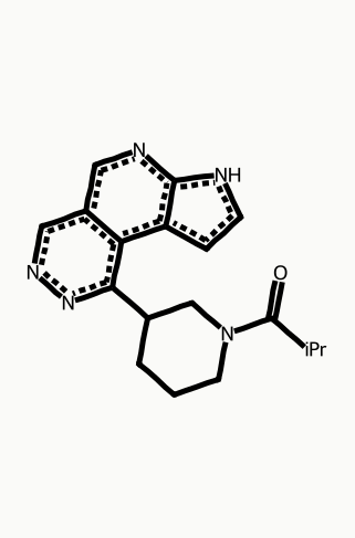 CC(C)C(=O)N1CCCC(c2nncc3cnc4[nH]ccc4c23)C1